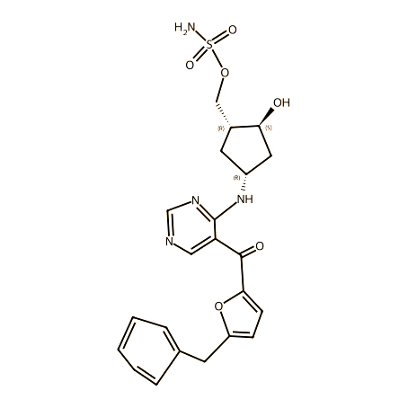 NS(=O)(=O)OC[C@H]1C[C@@H](Nc2ncncc2C(=O)c2ccc(Cc3ccccc3)o2)C[C@@H]1O